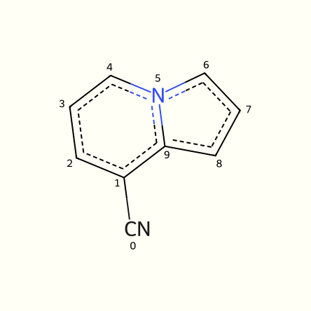 N#Cc1cccn2cccc12